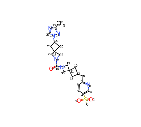 CS(=O)(=O)c1ccc(CC2CC3(C2)CN(C(=O)N2CC4(CC(n5cnc(C(F)(F)F)n5)C4)C2)C3)nc1